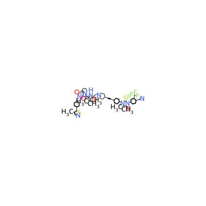 Cc1cnsc1-c1ccc(CNC(=O)[C@@H]2CCCN2C(=O)[C@@H](NC(=O)CN2CCC(C#Cc3ccc(N4C(=S)N(c5ccc(C#N)c(C(F)(F)F)c5F)C(=O)C4(C)C)cc3)CC2)C(C)(C)C)cc1